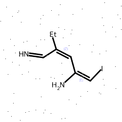 CC/C(C=N)=C/C(N)=C\I